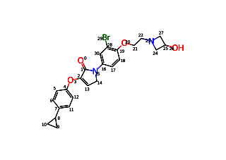 O=C1C(Oc2ccc(C3CC3)cc2)=CCN1c1ccc(OCCN2CC(O)C2)c(Br)c1